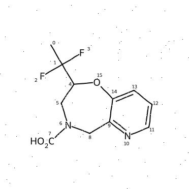 CC(F)(F)C1CN(C(=O)O)Cc2ncccc2O1